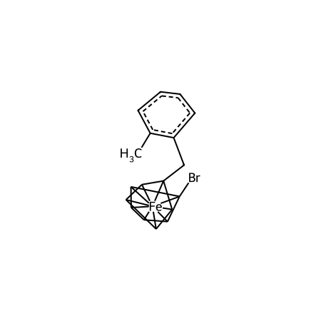 Cc1ccccc1C[C]12[CH]3[CH]4[CH]5[CH]1[Fe]45321678[CH]2[CH]1[CH]6[C]7(Br)[CH]28